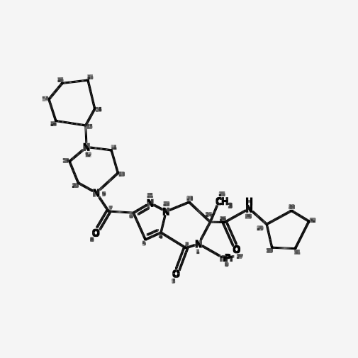 CCCN1C(=O)c2cc(C(=O)N3CCN(C4CCCCC4)CC3)nn2CC1(C)C(=O)NC1CCCC1